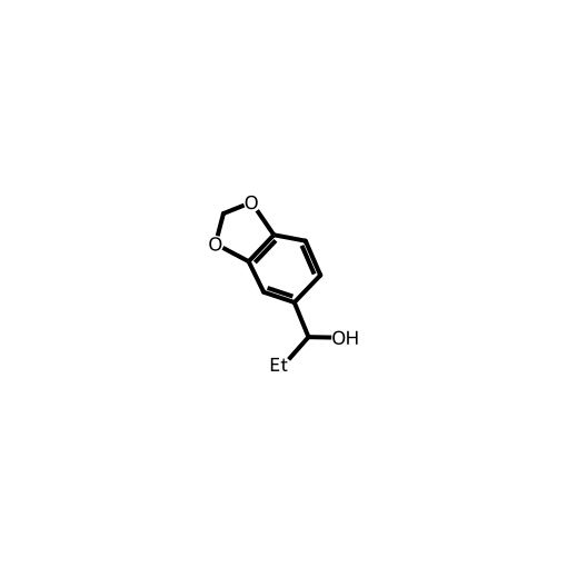 CCC(O)c1ccc2c(c1)OCO2